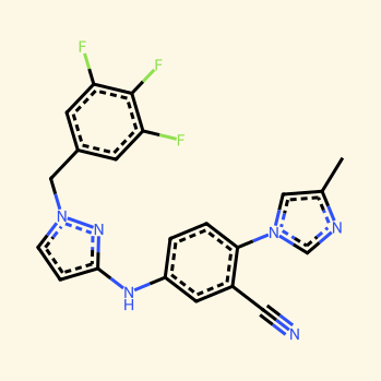 Cc1cn(-c2ccc(Nc3ccn(Cc4cc(F)c(F)c(F)c4)n3)cc2C#N)cn1